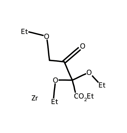 CCOCC(=O)C(OCC)(OCC)C(=O)OCC.[Zr]